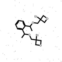 CCC1(COC(C)c2ccccc2C(C)OCC2(CC)COC2)COC1